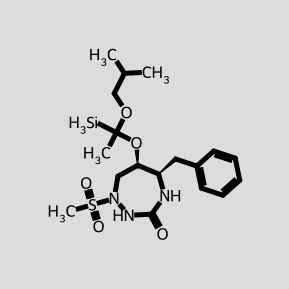 CC(C)COC(C)([SiH3])O[C@@H]1CN(S(C)(=O)=O)NC(=O)N[C@@H]1Cc1ccccc1